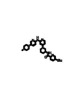 CN1CCN(c2ccc(Nc3cc(N4CCCC(NC(=O)c5ccc(C(C)(C)C)cn5)C4)ccn3)nc2)CC1